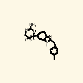 Cc1ccc(Cc2nc3ccc([C@@]4(C)OC(N)=NCC4(F)F)cc3[nH]2)cc1